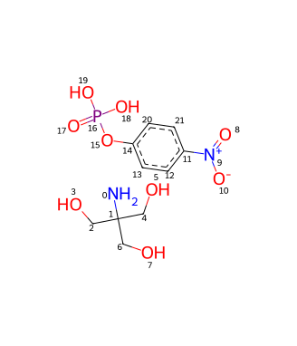 NC(CO)(CO)CO.O=[N+]([O-])c1ccc(OP(=O)(O)O)cc1